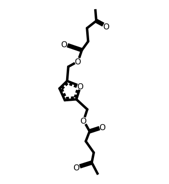 CC(=O)CCC(=O)OCc1ccc(COC(=O)CCC(C)=O)o1